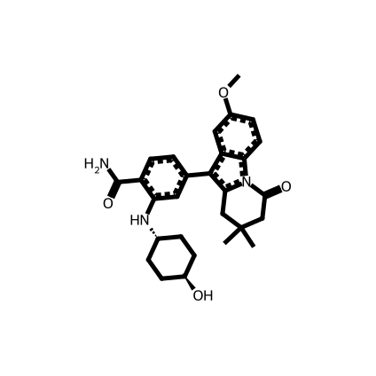 COc1ccc2c(c1)c(-c1ccc(C(N)=O)c(N[C@H]3CC[C@H](O)CC3)c1)c1n2C(=O)CC(C)(C)C1